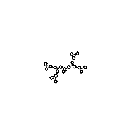 c1ccc(-n2c3ccccc3c3cc(-c4ccc5c(c4)c4cc(-c6ccc7c(c6)c6ccccc6n7-c6ccccc6)ccc4n5-c4ccc(-c5nc(-c6cccc(-n7c8ccc(-c9ccc%10c(c9)c9ccccc9n%10-c9ccccc9)cc8c8cc(-c9ccc%10c(c9)c9ccccc9n%10-c9ccccc9)ccc87)c6)c6ccccc6n5)cc4)ccc32)cc1